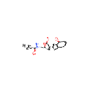 CC(=O)NCC1C[C@@H](c2ccc3c(c2)C(=O)CCCC3)C(=O)O1